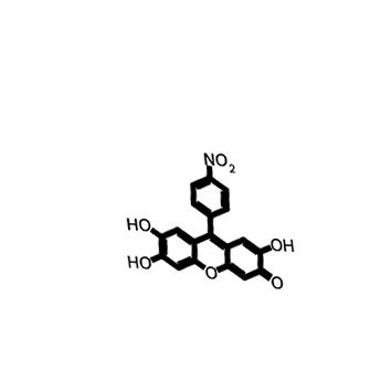 O=c1cc2oc3cc(O)c(O)cc3c(-c3ccc([N+](=O)[O-])cc3)c-2cc1O